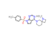 Cc1ccc(S(=O)(=O)n2ccc3c(N4CCCC5(CCN5C(=O)O)C4)ncnc32)cc1